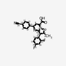 Cc1nn2c(C(=O)O)cc(-c3ccc(C#N)cc3)nc2c1-c1ccc(F)cc1F